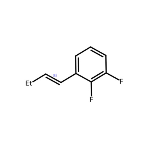 CC/C=C/c1cccc(F)c1F